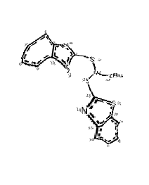 CC(C)(C)N(Sc1nc2ccccc2s1)Sc1nc2ccccc2s1